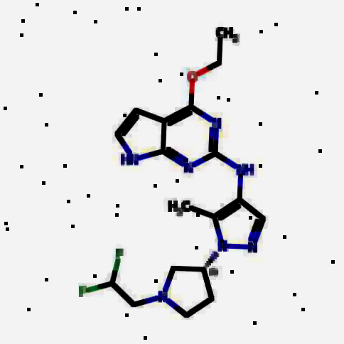 CCOc1nc(Nc2cnn([C@@H]3CCN(CC(F)F)C3)c2C)nc2[nH]ccc12